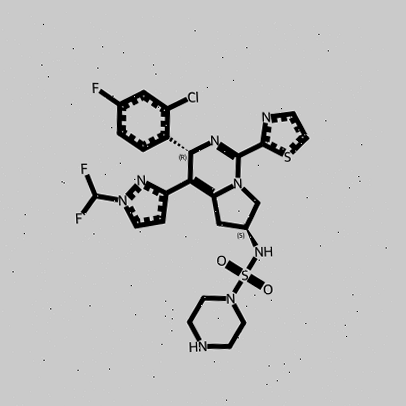 O=S(=O)(N[C@H]1CC2=C(c3ccn(C(F)F)n3)[C@H](c3ccc(F)cc3Cl)N=C(c3nccs3)N2C1)N1CCNCC1